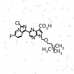 C[Si](C)(C)CCOCn1cc(C(=O)O)c2nc(-c3nc(Cl)n4cc(F)ccc34)cnc21